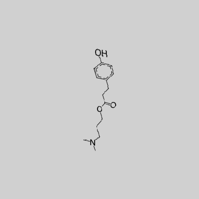 CN(C)CCCOC(=O)CCc1ccc(O)cc1